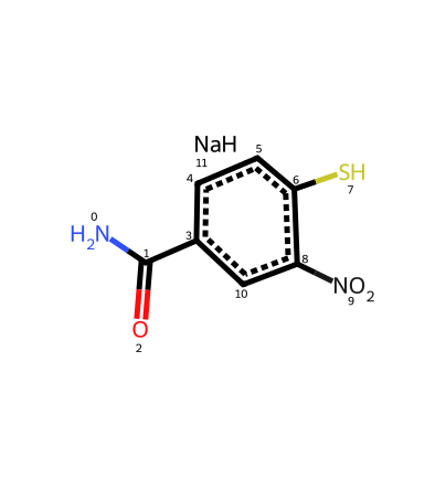 NC(=O)c1ccc(S)c([N+](=O)[O-])c1.[NaH]